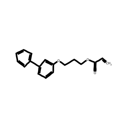 C=CC(=O)OCCCOc1cccc(-c2ccccc2)c1